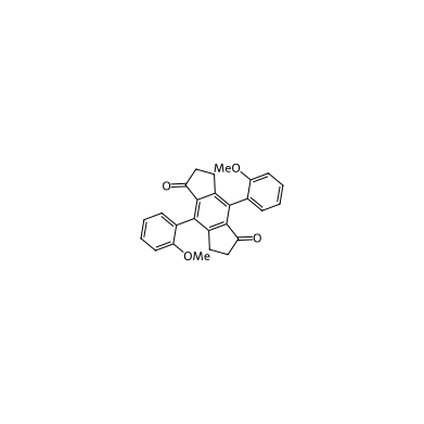 COc1ccccc1-c1c2c(c(-c3ccccc3OC)c3c1C(=O)CC3)C(=O)CC2